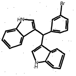 Brc1cccc(C(c2c[nH]c3ccccc23)c2c[nH]c3ccccc23)c1